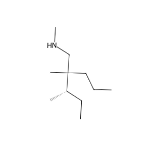 CCCC(C)(CNC)[C@@H](C)CC